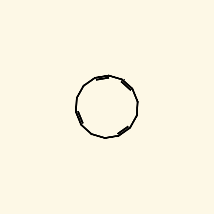 [C]1=CCCC=CCCC=CCCC=C1